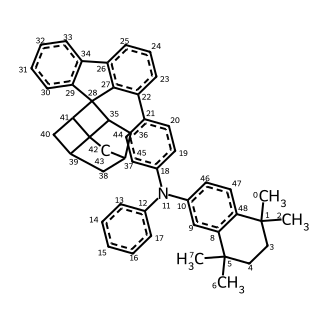 CC1(C)CCC(C)(C)c2cc(N(c3ccccc3)c3ccc(-c4cccc5c4C4(c6ccccc6-5)C5CC6CC7CC4C75C6)cc3)ccc21